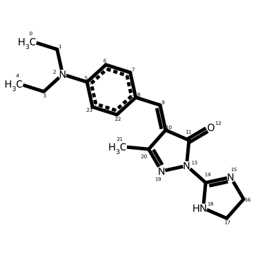 CCN(CC)c1ccc(C=C2C(=O)N(C3=NCCN3)N=C2C)cc1